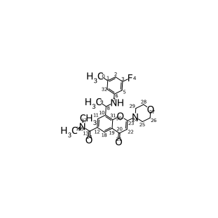 Cc1cc(F)cc(NC(C)c2cc(C(=O)N(C)C)cc3c(=O)cc(N4CCOCC4)oc23)c1